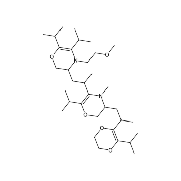 COCCN1C(C(C)C)=C(C(C)C)OCC1CC(C)C1=C(C(C)C)OCC(CC(C)C2=C(C(C)C)OCCO2)N1C